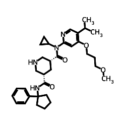 COCCCOc1cc(N(C(=O)[C@H]2CNC[C@@H](C(=O)NC3(c4ccccc4)CCCC3)C2)C2CC2)ncc1C(C)C